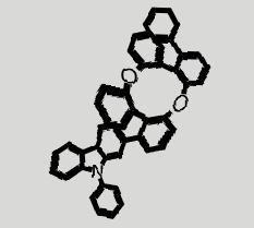 C1=CCCC(c2cccc3c2-c2ccccc2Oc2ccccc2-c2c(cccc2C2=CCC4C(=C2)N(c2ccccc2)c2ccccc24)O3)=C1